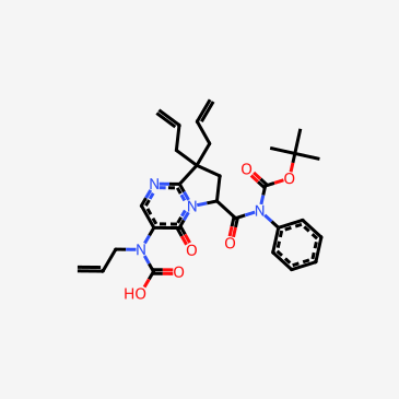 C=CCN(C(=O)O)c1cnc2n(c1=O)C(C(=O)N(C(=O)OC(C)(C)C)c1ccccc1)CC2(CC=C)CC=C